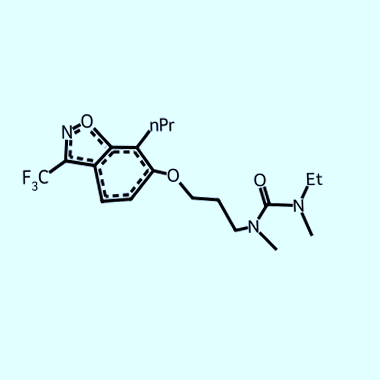 CCCc1c(OCCCN(C)C(=O)N(C)CC)ccc2c(C(F)(F)F)noc12